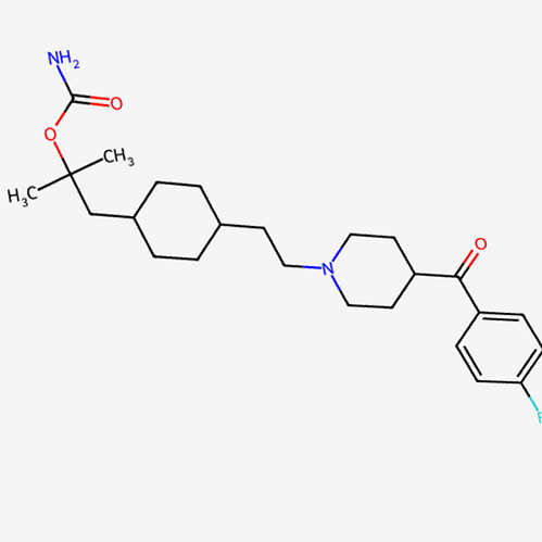 CC(C)(CC1CCC(CCN2CCC(C(=O)c3ccc(F)cc3)CC2)CC1)OC(N)=O